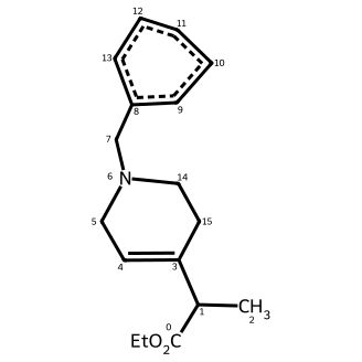 CCOC(=O)C(C)C1=CCN(Cc2ccccc2)CC1